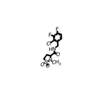 CN1C(C(=O)NCc2ccc(F)c(F)c2Cl)CCS1(=O)=O